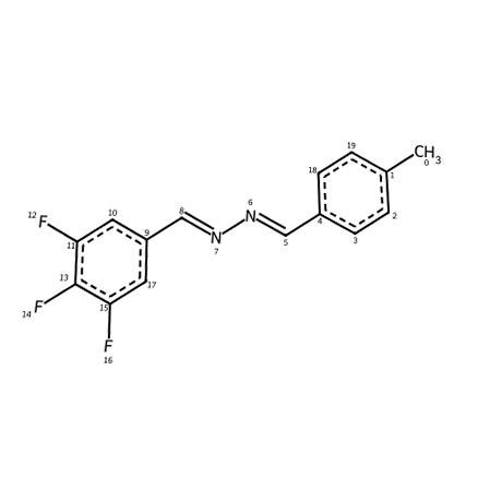 Cc1ccc(/C=N/N=C/c2cc(F)c(F)c(F)c2)cc1